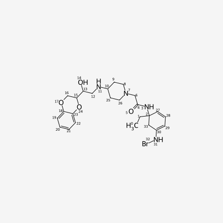 CCC1(NC(=O)CN2CCC(NCC(O)C3COc4ccccc4O3)CC2)C=CC=C(NBr)C1